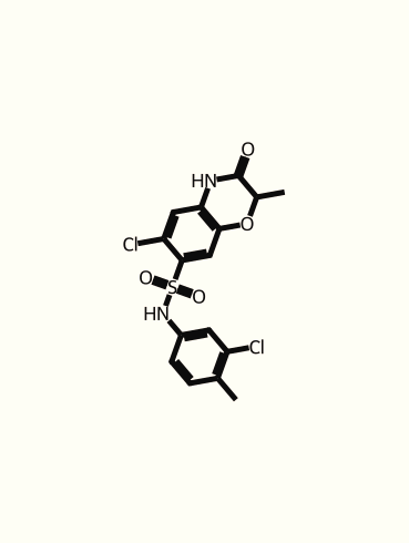 Cc1ccc(NS(=O)(=O)c2cc3c(cc2Cl)NC(=O)C(C)O3)cc1Cl